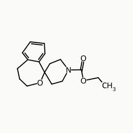 CCOC(=O)N1CCC2(CC1)OCCCc1ccccc12